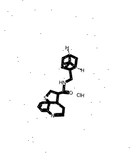 CC1(C)[C@H]2CCC(CNC(=O)C3CSC45CC=CC=C4N=CCC35)[C@@H]1C2.Cl